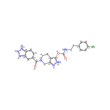 O=C(NCCc1ccc(Br)cc1)Oc1[nH]nc2c1CCN(C(=O)c1ccc3[nH]nnc3c1)C2